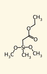 CCOC(=O)C[Si](C)(OC)OC